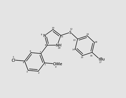 COc1ccc(Cl)cc1-c1ncc(Sc2ccc(C(C)(C)C)cc2)[nH]1